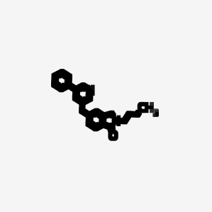 CCCCN1Cc2cc(Cc3cncc(-c4ccccc4)c3)ccc2C1=O